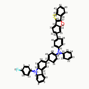 Fc1ccc(-n2c3ccccc3c3cc(-c4ccc(N(c5ccccc5)c5ccc(-c6ccc7c(c6)oc6c8ccccc8sc76)cc5)cc4)ccc32)cc1